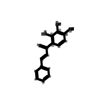 O=C(/C=C/c1ccncc1)c1ccc(O)c(O)c1O